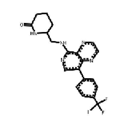 O=C1CCCC(CNc2ncc(-c3ccc(C(F)(F)F)cc3)c3nccnc23)N1